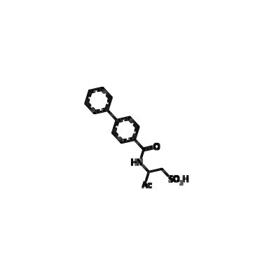 CC(=O)C(CS(=O)(=O)O)NC(=O)c1ccc(-c2ccccc2)cc1